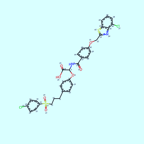 O=C(NC(Oc1ccc(CCCS(=O)(=O)c2ccc(Cl)cc2)cc1)C(=O)O)c1ccc(OCc2nc3c(Cl)cccc3s2)cc1